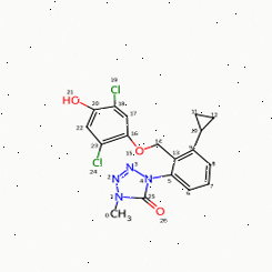 Cn1nnn(-c2cccc(C3CC3)c2COc2cc(Cl)c(O)cc2Cl)c1=O